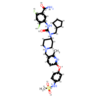 Cc1nc(Oc2ccc(NS(C)(=O)=O)cc2)ccc1CN1CCC(N(CC2CCCC2)C(=O)Nc2cc(C(N)=O)c(F)cc2F)CC1